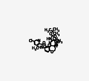 Cc1cc(Cl)cnc1C(=O)Nc1ccc2c(c1)[C@@]1(C)N=C(NC(=O)OC(C)(C)C)C(C)(C)S(=O)(=O)[C@H]1CCO2